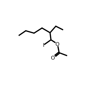 CCCCC(CC)C(I)OC(C)=O